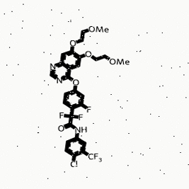 COCCOc1cc2ncnc(Oc3ccc(C(F)(F)C(=O)Nc4ccc(Cl)c(C(F)(F)F)c4)c(F)c3)c2cc1OCCOC